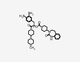 Bc1ccc(C[C@@H](OC(=O)N2CCC(N3CCc4ccccc4NC3=O)CC2)C(=O)N2CCC(N3CCN(C)CC3)CC2)cc1B